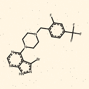 Fc1cc(C(F)(F)F)ccc1CN1CCN(c2ncnc3[nH]nc(Br)c23)CC1